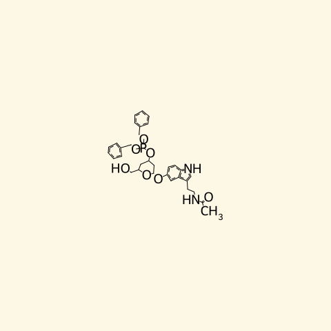 CC(=O)NCCc1c[nH]c2ccc(OC3CC(OP(OCc4ccccc4)OCc4ccccc4)CC(CO)O3)cc12